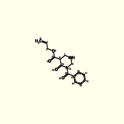 C=CCOC(=O)C1CNCN(C(=O)c2ccccc2)C1=O